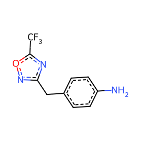 Nc1ccc(Cc2noc(C(F)(F)F)n2)cc1